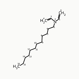 C=CN(C=C)CCCCCCCCCCCC